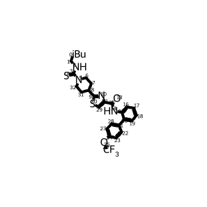 CCC(C)CNC(=S)N1CCC(c2nc(C(=O)Nc3ccccc3-c3ccc(OC(F)(F)F)cc3)cs2)CC1